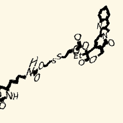 CCC1(OC(=O)OCCSSCCOC(=O)NCCCCC2NC(=O)OC2=O)C(=O)OCc2c1cc1n(c2=O)Cc2cc3ccccc3nc2-1